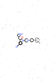 CC(C)[C@H]1CC[C@@H](N2CCC(N3C(=O)C(CC4CCNC4)c4cc(C#N)ccc43)CC2)CC1